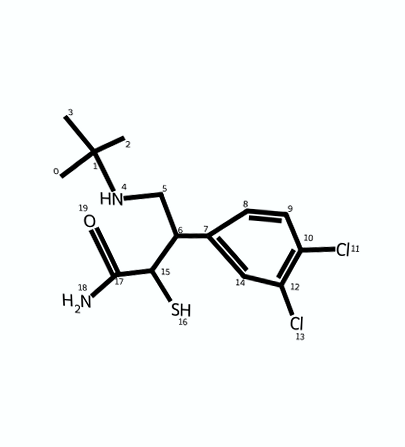 CC(C)(C)NCC(c1ccc(Cl)c(Cl)c1)C(S)C(N)=O